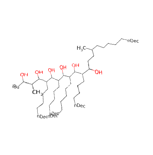 CCCCCCCCCCCCCCCC(C)CCC(O)C(CCCCCCCCCCCCCC)C(O)C(CCCCCCCCCCCCCCC)C(O)C(CCCCCCCCCCCCCC)C(O)C(CCCCCCCCCCCCCC)C(O)C(C)C(O)C(C)CC